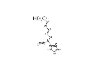 C#CC(C/C=C/C=C/C(=O)O)c1cccs1